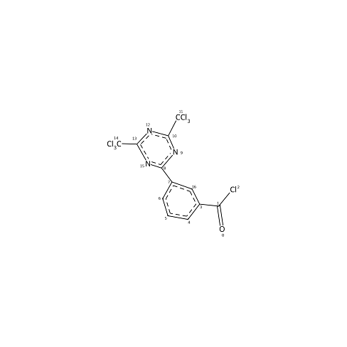 O=C(Cl)c1cccc(-c2nc(C(Cl)(Cl)Cl)nc(C(Cl)(Cl)Cl)n2)c1